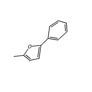 Cc1[c]cc(-c2ccccc2)o1